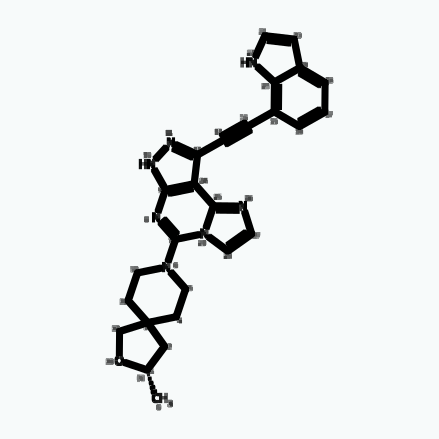 C[C@H]1CC2(CCN(c3nc4[nH]nc(C#Cc5cccc6cc[nH]c56)c4c4nccn34)CC2)CO1